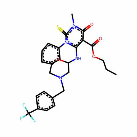 CCCOC(=O)c1c(NC2CN(Cc3ccc(C(F)(F)F)cc3)CCO2)n(-c2ccccc2)c(=S)n(C)c1=O